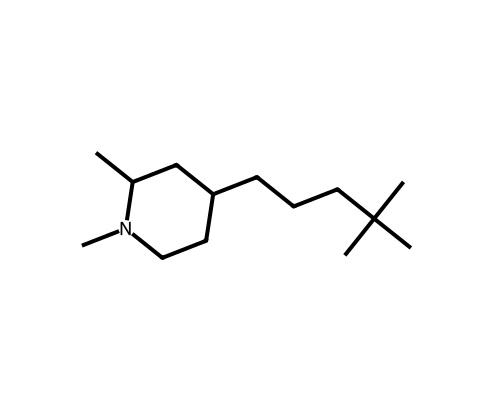 CC1CC(CCCC(C)(C)C)CCN1C